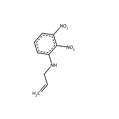 C=C[CH]Nc1cccc([N+](=O)[O-])c1[N+](=O)[O-]